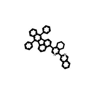 c1ccc(-c2c3c(c(-c4ccccc4)c4ccccc24)-c2ccc(-c4cnc(-c5cc6ccccc6cn5)c5c4CCCC5)c4cccc-3c24)cc1